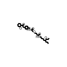 CCCC(CCCCNC(=O)CCCOCC(=O)NCc1ccc(CC(=O)C2CCCCC2=O)cc1)C(=O)CC